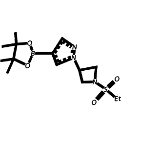 CCS(=O)(=O)N1CC(n2cc(B3OC(C)(C)C(C)(C)O3)cn2)C1